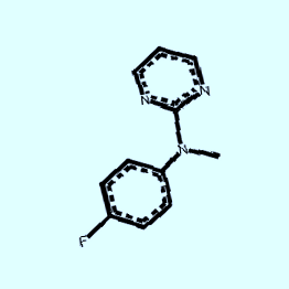 CN(c1ccc(F)cc1)c1ncccn1